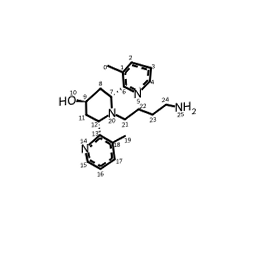 Cc1cccnc1[C@H]1C[C@H](O)C[C@@H](c2ncccc2C)N1CCCCN